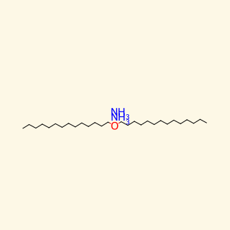 CCCCCCCCCCCCCCOCCCCCCCCCCCCCC.N.N